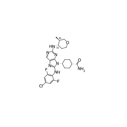 C[C@H]1COCC[C@@H]1Nc1ncc2nc(Nc3c(F)cc(Cl)cc3F)n([C@H]3CC[C@@H](C(N)=O)CC3)c2n1